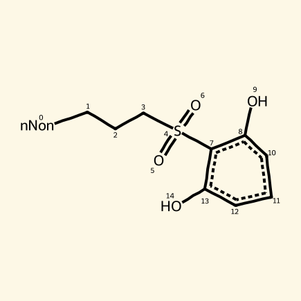 CCCCCCCCCCCCS(=O)(=O)c1c(O)cccc1O